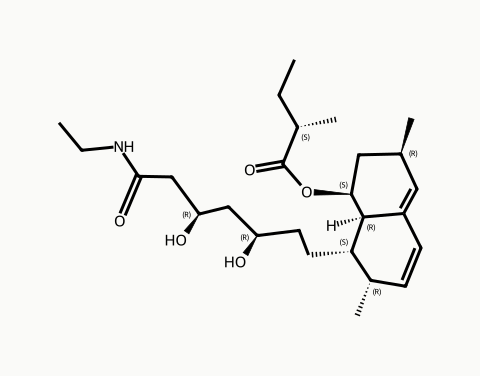 CCNC(=O)C[C@H](O)C[C@H](O)CC[C@@H]1[C@@H]2C(=C[C@H](C)C[C@@H]2OC(=O)[C@@H](C)CC)C=C[C@@H]1C